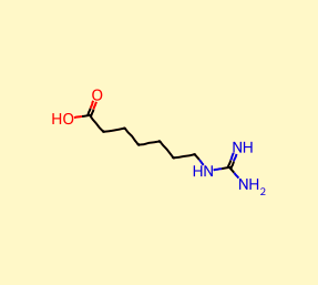 N=C(N)NCCCCCCC(=O)O